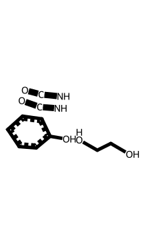 N=C=O.N=C=O.OCCO.Oc1ccccc1